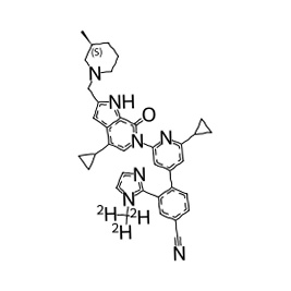 [2H]C([2H])([2H])n1ccnc1-c1cc(C#N)ccc1-c1cc(C2CC2)nc(-n2cc(C3CC3)c3cc(CN4CCC[C@H](C)C4)[nH]c3c2=O)c1